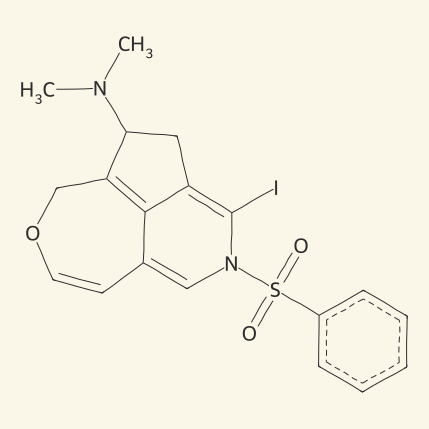 CN(C)C1CC2=C(I)N(S(=O)(=O)c3ccccc3)C=C3C=COCC1=C32